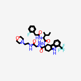 CCC(C)[C@H](NC(=O)Cc1ccccc1F)C(=O)N[C@]1(C(=O)NCC(=O)NCCN2CCOCC2)CCc2[nH]c3c(C(F)(F)F)cccc3c2C1